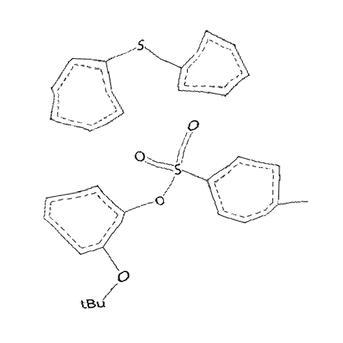 Cc1ccc(S(=O)(=O)Oc2ccccc2OC(C)(C)C)cc1.c1ccc(Sc2ccccc2)cc1